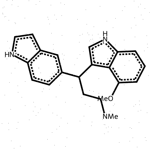 CNCCC(c1ccc2[nH]ccc2c1)c1c[nH]c2cccc(OC)c12